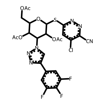 CC(=O)OCC1OC(Sc2cc(Cl)c(C#N)nn2)C(OC(C)=O)C(n2cc(-c3cc(F)c(F)c(F)c3)nn2)C1OC(C)=O